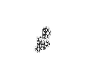 c1cc(-c2ccc3ccc4cccnc4c3n2)cc(-c2nc3ccccc3c3sc4ccccc4c23)c1